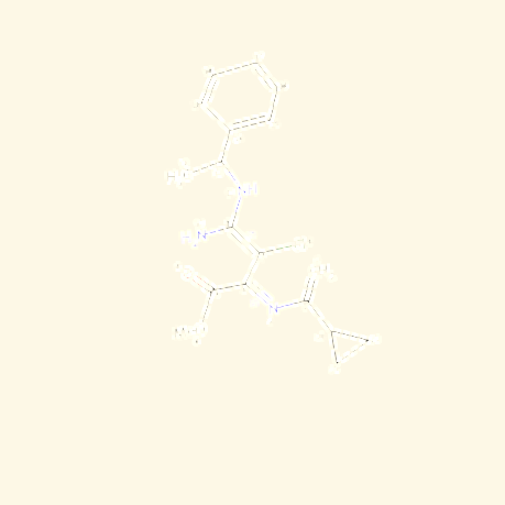 C=C(/N=C(C(=O)OC)\C(Cl)=C(/N)NC(C)c1ccccc1)C1CC1